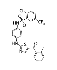 Cc1ccccc1C(=O)c1cnc(Nc2ccc(NS(=O)(=O)c3cc(C(F)(F)F)ccc3Cl)cc2)s1